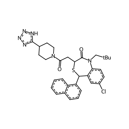 CC(C)(C)CN1C(=O)C(CC(=O)N2CCC(c3nnn[nH]3)CC2)SC(c2cccc3ccccc23)c2cc(Cl)ccc21